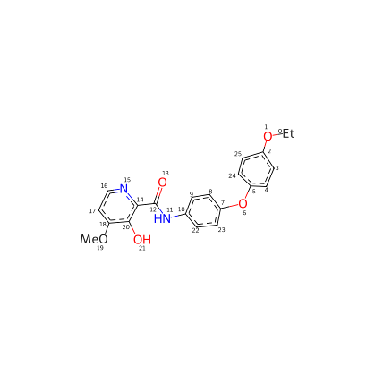 CCOc1ccc(Oc2ccc(NC(=O)c3nccc(OC)c3O)cc2)cc1